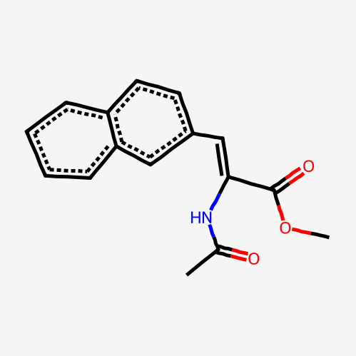 COC(=O)C(=Cc1ccc2ccccc2c1)NC(C)=O